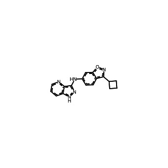 c1cnc2c(Nc3ccc4c(C5CCC5)noc4c3)n[nH]c2c1